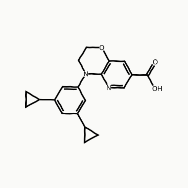 O=C(O)c1cnc2c(c1)OCCN2c1cc(C2CC2)cc(C2CC2)c1